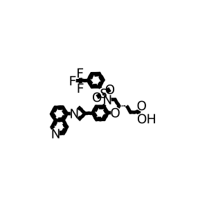 O=C(O)CC[C@H]1CN(S(=O)(=O)c2cccc(C(F)(F)F)c2)c2cc(C3CN(c4cccc5cnccc45)C3)ccc2O1